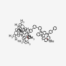 CC(C)(C)c1ccc2sc3c(c2c1)-c1c(N(c2ccccc2)c2ccc(-c4ccccc4)cc2)ccc2c1B3c1ccccc1N2c1cccc(-c2cccc(-c3ccc(N(c4ccccc4)c4ccc5c6c4-c4c(oc7c4C(C)(C)CCC7(C)C)B6c4oc6c(c4N5c4coc5c4C(C)(C)CCC5(C)C)C(C)(C)CCC6(C)C)cc3)c2)c1